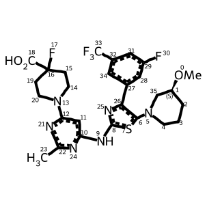 CO[C@H]1CCCN(c2sc(Nc3cc(N4CCC(F)(C(=O)O)CC4)nc(C)n3)nc2-c2cc(F)cc(C(F)(F)F)c2)C1